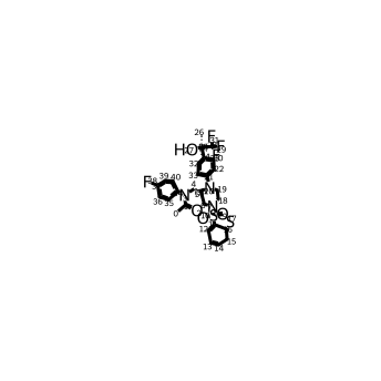 CC(=O)N(C[C@H]1CN(S(=O)(=O)C2=CC=CCC2=S)CCN1c1ccc([C@@](C)(O)C(F)(F)F)cc1)c1ccc(F)cc1